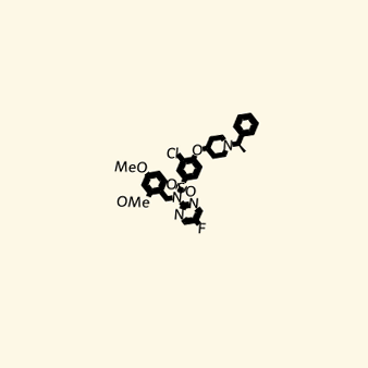 COc1ccc(CN(c2ncc(F)cn2)S(=O)(=O)c2ccc(OC3CCN([C@H](C)c4ccccc4)CC3)c(Cl)c2)c(OC)c1